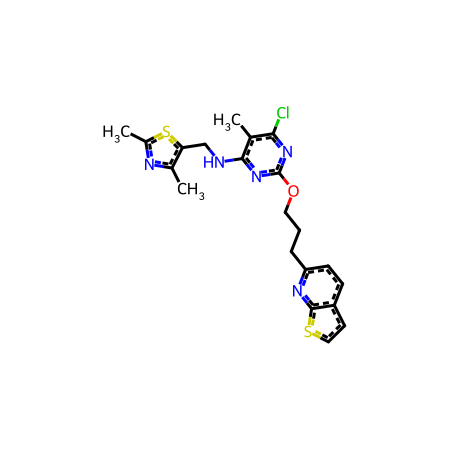 Cc1nc(C)c(CNc2nc(OCCCc3ccc4ccsc4n3)nc(Cl)c2C)s1